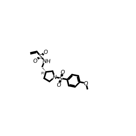 C=CS(=O)(=O)NC[C@H]1CCN(S(=O)(=O)c2ccc(OC)cc2)C1